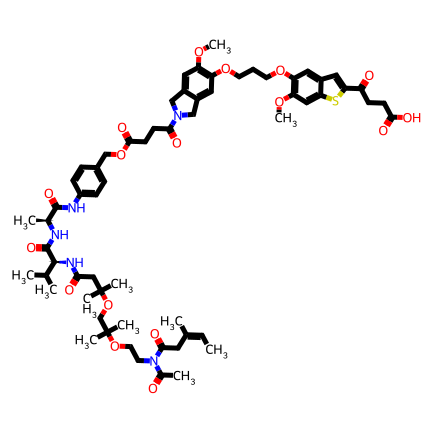 C/C=C(/C)CC(=O)N(CCOC(C)(C)COC(C)(C)CC(=O)N[C@H](C(=O)N[C@@H](C)C(=O)Nc1ccc(COC(=O)CCC(=O)N2Cc3cc(OC)c(OCCCOc4cc5cc(C(=O)CCC(=O)O)sc5cc4OC)cc3C2)cc1)C(C)C)C(C)=O